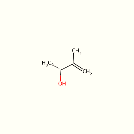 C=C(C)[C@@H](C)O